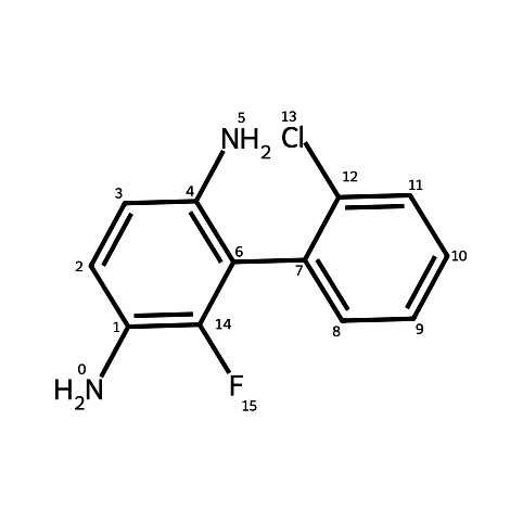 Nc1ccc(N)c(-c2ccccc2Cl)c1F